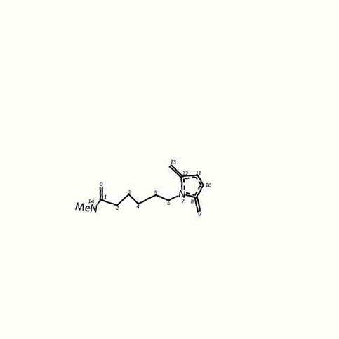 C=C(CCCCCn1c(=C)ccc1=C)NC